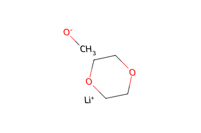 C1COCCO1.C[O-].[Li+]